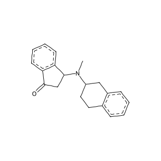 CN(C1CCc2ccccc2C1)C1CC(=O)c2ccccc21